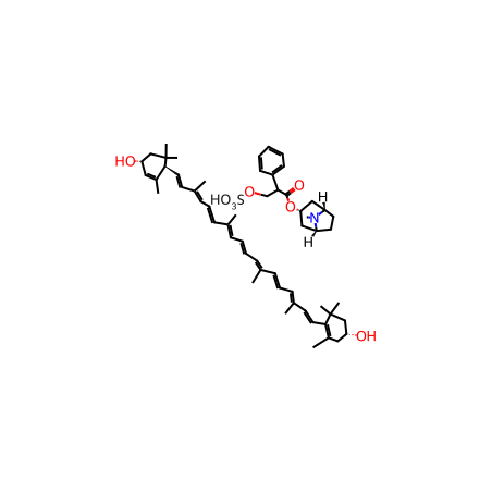 CC1=C[C@H](O)CC(C)(C)[C@H]1/C=C/C(C)=C/C=C/C(C)=C/C=C/C=C(C)/C=C/C=C(C)/C=C/C1=C(C)C[C@@H](O)CC1(C)C.CN1[C@@H]2CC[C@H]1C[C@@H](OC(=O)C(COS(=O)(=O)O)c1ccccc1)C2